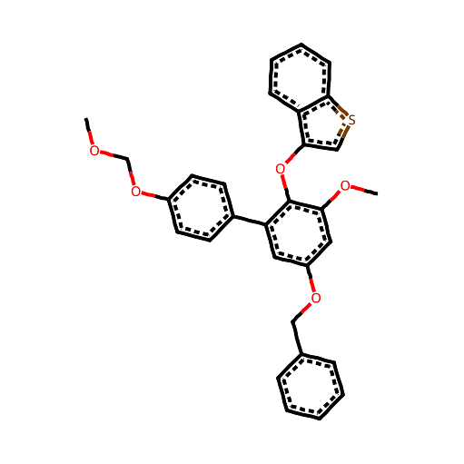 COCOc1ccc(-c2cc(OCc3ccccc3)cc(OC)c2Oc2csc3ccccc23)cc1